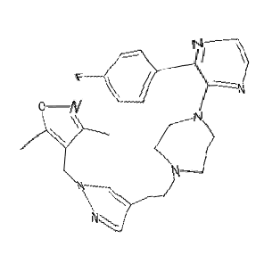 Cc1noc(C)c1Cn1cc(CN2CCN(c3nccnc3-c3ccc(F)cc3)CC2)cn1